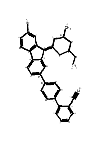 CCC1C/C(=C2/c3cc(Br)ccc3-c3ccc(-c4ccc(-c5ccccc5C#N)cc4)cc32)CC(C)C1